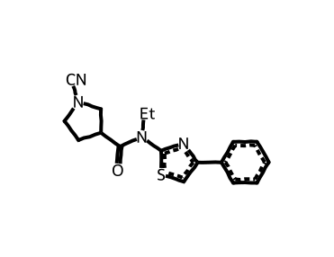 CCN(C(=O)C1CCN(C#N)C1)c1nc(-c2ccccc2)cs1